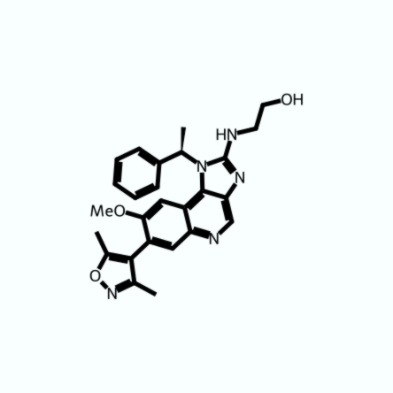 COc1cc2c(cc1-c1c(C)noc1C)ncc1nc(NCCO)n([C@H](C)c3ccccc3)c12